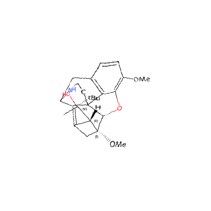 COc1ccc2c3c1OC1C34CCNC(C2)C4=C2C[C@@]1(OC)[C@H]2[C@@](C)(O)C(C)(C)C